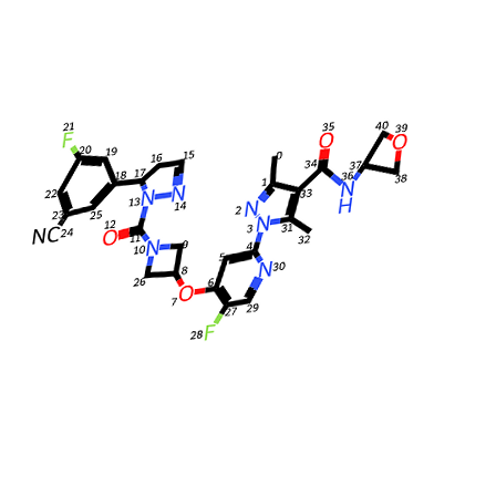 Cc1nn(-c2cc(OC3CN(C(=O)N4N=CCC4c4cc(F)cc(C#N)c4)C3)c(F)cn2)c(C)c1C(=O)NC1COC1